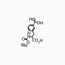 CC(C)(C)OC(=O)NC(Cc1cccc(P(O)O)c1)C(=O)O